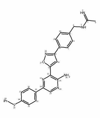 CC(=N)NCc1ccc(-c2cc(-c3nc(-c4ccc(SC(C)C)cc4)cnc3N)on2)cc1